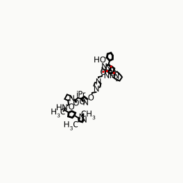 Cc1cnn(C)c1-c1ccc(C(C)NC(=O)C2CCCN2C(=O)C(c2cc(OCCN3CCN(CCOc4cc(N5C6CCC5CN(c5cc(-c7ccccc7O)nnc5N)C6)ccn4)CC3)no2)C(C)C)cc1